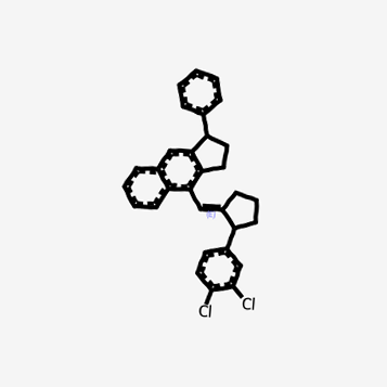 Clc1ccc(C2CCC/C2=C\c2c3c(cc4ccccc24)C(c2ccccc2)CC3)cc1Cl